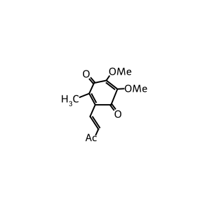 COC1=C(OC)C(=O)C(/C=C/C(C)=O)=C(C)C1=O